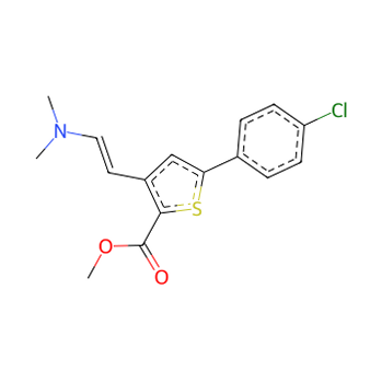 COC(=O)c1sc(-c2ccc(Cl)cc2)cc1C=CN(C)C